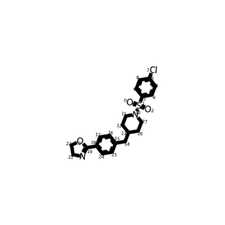 O=S(=O)(c1ccc(Cl)cc1)N1CCC(Cc2ccc(C3=NCCO3)cc2)CC1